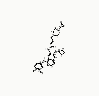 O=C(C=CCN1CCN(C2CC2)CC1)Nc1cc2c(Nc3ccc(F)c(Cl)c3)ncnc2cc1OC1CCC1